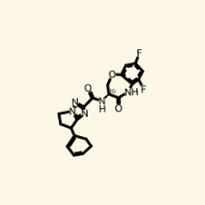 O=C(N[C@H]1COc2cc(F)cc(F)c2NC1=O)c1nc2n(n1)CCC2C1=CC=CCC1